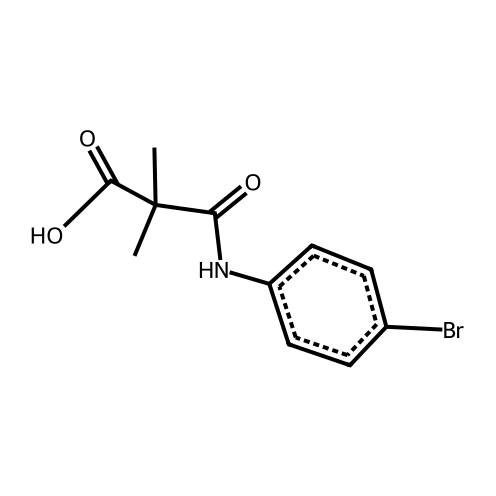 CC(C)(C(=O)O)C(=O)Nc1ccc(Br)cc1